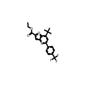 CCOC(=O)c1cc2nc(-c3ccc(C(F)(F)F)cc3)cc(C(C)(C)C)c2o1